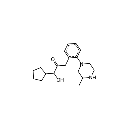 CC1CN(c2ccccc2CC(=O)C(O)C2CCCC2)CCN1